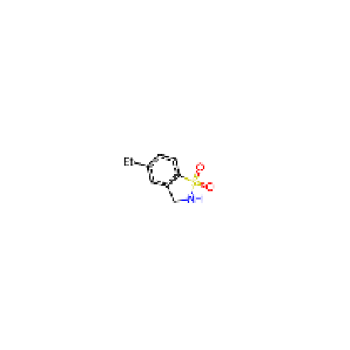 CCc1ccc2c(c1)CNS2(=O)=O